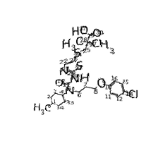 CC1CCC(N(CCCOc2ccc(Cl)cc2)C(=O)Nc2ncc(SCC(C)(C)C(=O)O)s2)CC1